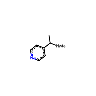 CNC(C)c1ccncc1